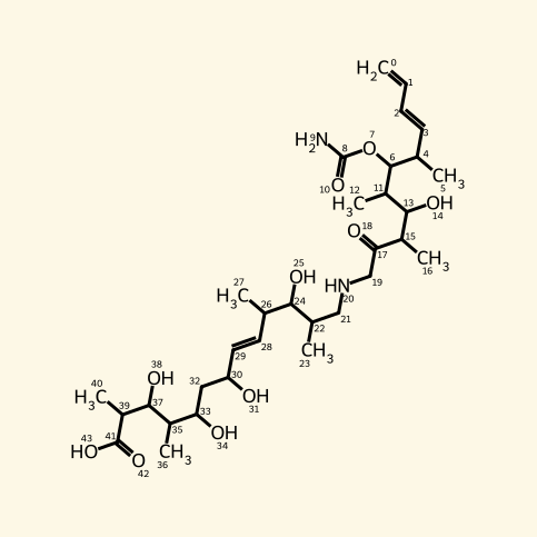 C=CC=CC(C)C(OC(N)=O)C(C)C(O)C(C)C(=O)CNCC(C)C(O)C(C)C=CC(O)CC(O)C(C)C(O)C(C)C(=O)O